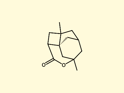 CC12CC3CC4(C)CC(C(=O)O1)[C@]4(C3)C2